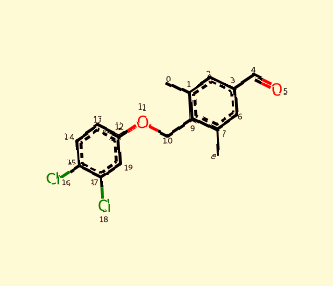 Cc1cc(C=O)cc(C)c1COc1ccc(Cl)c(Cl)c1